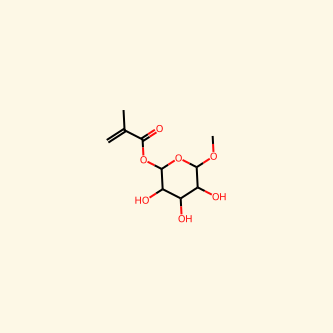 C=C(C)C(=O)OC1OC(OC)C(O)C(O)C1O